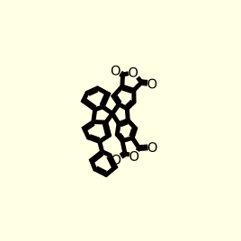 O=C1OC(=O)c2cc3c(cc21)-c1cc2c(cc1C31c3ccccc3-c3ccc(-c4ccccc4)cc31)C(=O)OC2=O